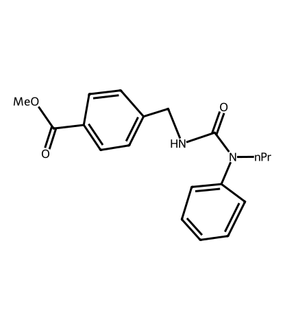 CCCN(C(=O)NCc1ccc(C(=O)OC)cc1)c1ccccc1